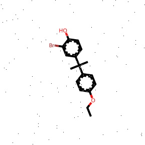 CCOc1ccc(C(C)(C)c2ccc(O)c(Br)c2)cc1